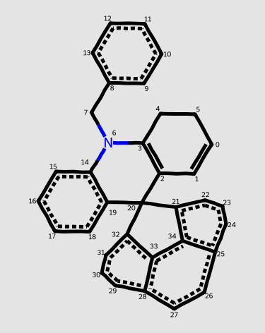 C1=CC2=C(CC1)N(Cc1ccccc1)c1ccccc1C21c2cccc3ccc4cccc1c4c23